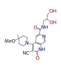 COC1(C)CCN(c2c(C#N)c(=O)[nH]c3cnc(C(=O)NCC(O)CO)cc23)CC1